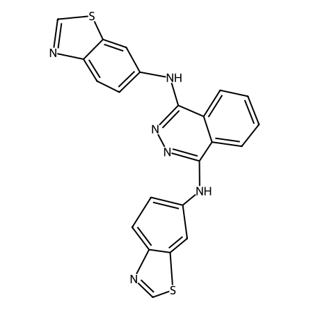 c1ccc2c(Nc3ccc4ncsc4c3)nnc(Nc3ccc4ncsc4c3)c2c1